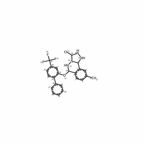 Cc1ccc2c(c1)C1NNC(Cl)N1NC2Oc1cc(C(F)(F)F)ccc1-c1ccccc1